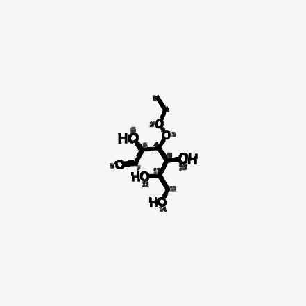 CCOOC(C(O)C=O)C(O)C(O)CO